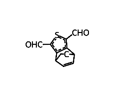 O=Cc1sc(C=O)c2c1C1C=CC2CC1